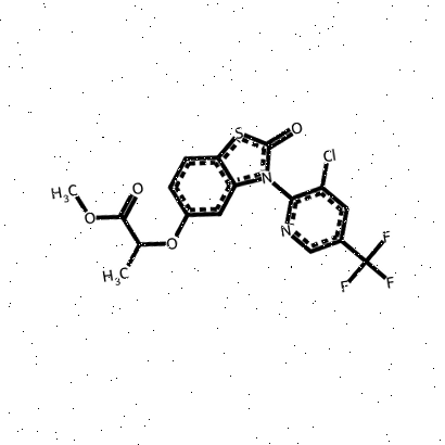 COC(=O)C(C)Oc1ccc2sc(=O)n(-c3ncc(C(F)(F)F)cc3Cl)c2c1